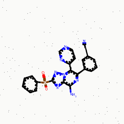 N#Cc1cccc(-c2nc(N)c3nc(S(=O)(=O)c4ccccc4)nn3c2-c2ccncn2)c1